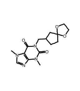 Cn1cnc2c1c(=O)n(CC1CCC3(C1)OCCO3)c(=O)n2C